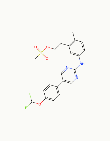 Cc1ccc(Nc2ncc(-c3ccc(OC(F)F)cc3)cn2)cc1CCOS(C)(=O)=O